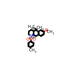 COc1ccc2c(c1)C(C)(C)[C@@H]1CCCN(S(=O)(=O)c3ccc(C)cc3)[C@@H]1C2